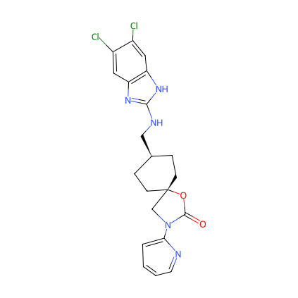 O=C1O[C@]2(CC[C@H](CNc3nc4cc(Cl)c(Cl)cc4[nH]3)CC2)CN1c1ccccn1